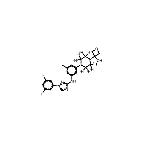 [2H]C1([2H])N(c2cc(C)cc(Nc3ncn(-c4cc(F)cc(F)c4)n3)c2)C([2H])([2H])C([2H])([2H])N(C2(O)COC2)C1([2H])[2H]